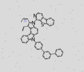 C=Cc1c(/C=C\C)n(-c2nccc3c2sc2ccccc23)c2ccc3c(c4ccccc4n3-c3ccc(-c4cccc(-c5ccccc5)c4)cc3)c12